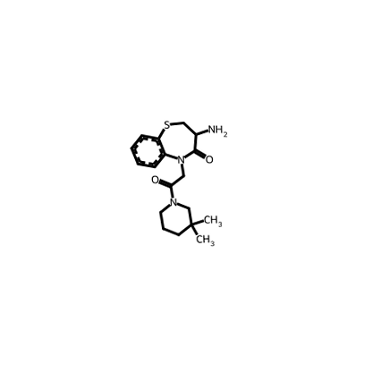 CC1(C)CCCN(C(=O)CN2C(=O)C(N)CSc3ccccc32)C1